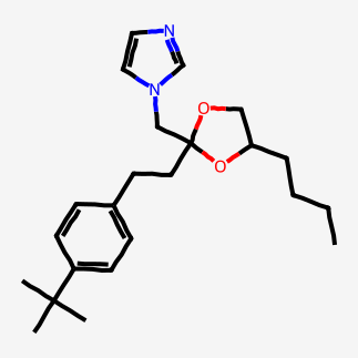 CCCCC1COC(CCc2ccc(C(C)(C)C)cc2)(Cn2ccnc2)O1